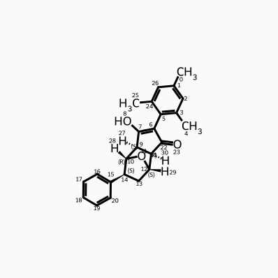 Cc1cc(C)c(C2=C(O)[C@@H]3[C@@H]4O[C@@H](C[C@H]4c4ccccc4)[C@@H]3C2=O)c(C)c1